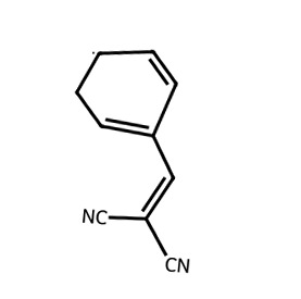 N#CC(C#N)=CC1=CC[CH]C=C1